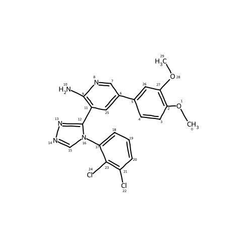 COc1ccc(-c2cnc(N)c(-c3nncn3-c3cccc(Cl)c3Cl)c2)cc1OC